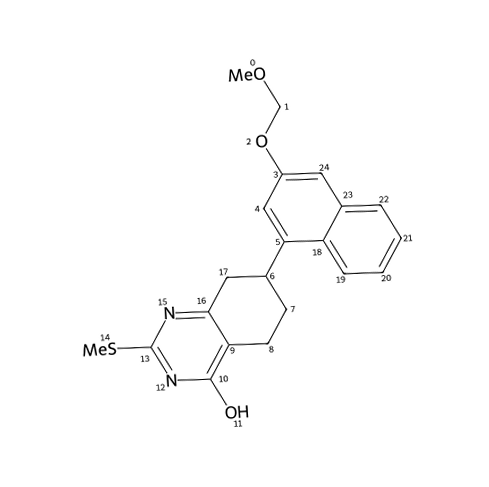 COCOc1cc(C2CCc3c(O)nc(SC)nc3C2)c2ccccc2c1